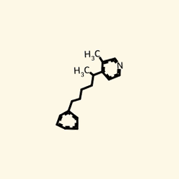 Cc1cnccc1C(C)CCCCc1ccccc1